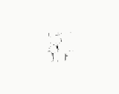 CN(C)Cc1nnc(S)n1C(F)F